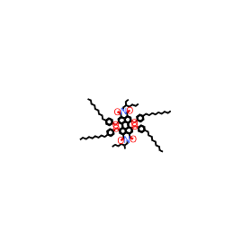 CCCCCCCCCc1ccc(Oc2cc3c4c(cc(Oc5ccc(CCCCCCCCC)cc5)c5c6c(Oc7ccc(CCCCCCCCC)cc7)cc7c8c(cc(Oc9ccc(CCCCCCCCC)cc9)c(c2c45)c86)C(=O)N(CC(CC)CCCC)C7=O)C(=O)N(CC(C)CCCC)C3=O)cc1